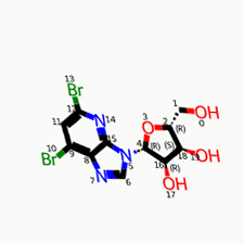 OC[C@H]1O[C@@H](n2cnc3c(Br)cc(Br)nc32)[C@H](O)[C@@H]1O